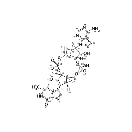 Cc1nc2c(ncn2[C@H]2[C@H](O)[C@@H]3OP(=O)(O)OC[C@@H]4[C@@H](O[P@@](=O)(S)OCC35C[C@H]25)[C@@H](O)C2(n3cnc5c(N)ncnc53)C[C@@H]42)c(=O)[nH]1